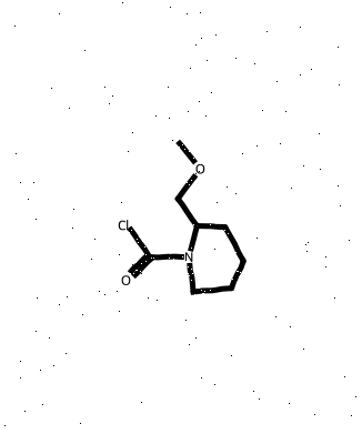 COCC1CCCCN1C(=O)Cl